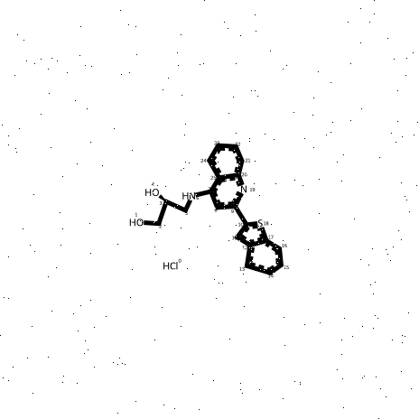 Cl.OC[C@@H](O)CNc1cc(-c2cc3ccccc3s2)nc2ccccc12